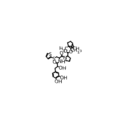 CC1(C)C2CCC1(C)C(OC(=O)C1CCCN1C(=O)C(CSc1cccs1)NC(=O)C(O)Cc1ccc(O)c(O)c1)C2